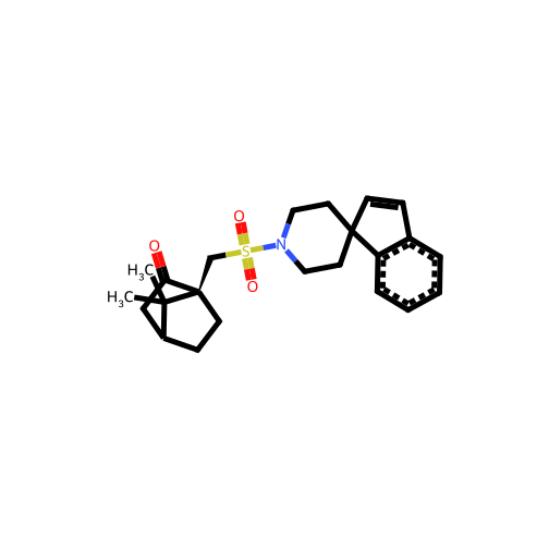 CC1(C)C2CC[C@@]1(CS(=O)(=O)N1CCC3(C=Cc4ccccc43)CC1)C(=O)C2